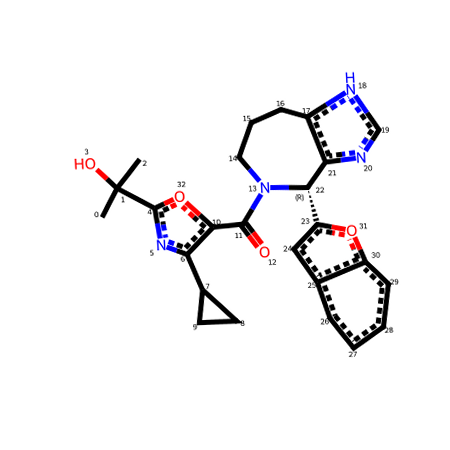 CC(C)(O)c1nc(C2CC2)c(C(=O)N2CCCc3[nH]cnc3[C@@H]2c2cc3ccccc3o2)o1